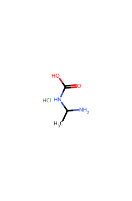 CC(N)NC(=O)O.Cl